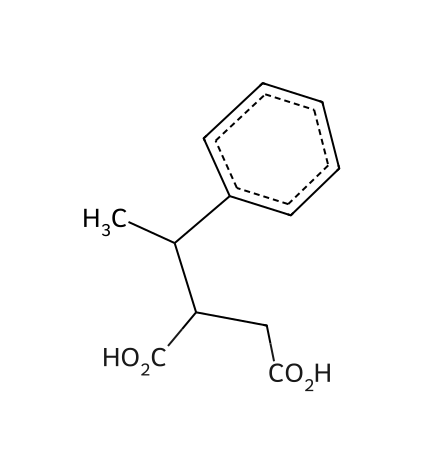 CC(c1ccccc1)C(CC(=O)O)C(=O)O